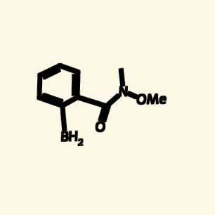 Bc1ccccc1C(=O)N(C)OC